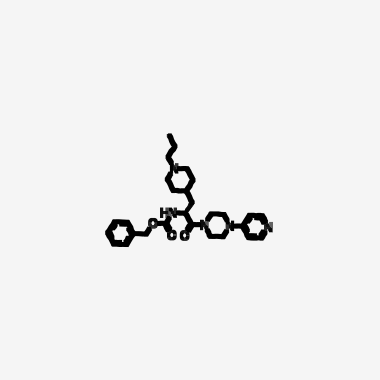 CCCN1CCC(C[C@H](NC(=O)OCc2ccccc2)C(=O)N2CCN(c3ccncc3)CC2)CC1